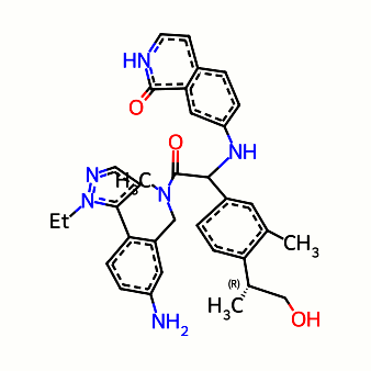 CCn1nccc1-c1ccc(N)cc1CN(C)C(=O)C(Nc1ccc2cc[nH]c(=O)c2c1)c1ccc([C@@H](C)CO)c(C)c1